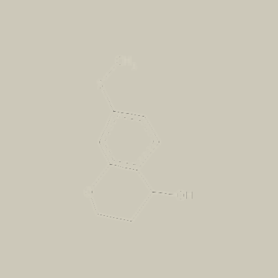 CSc1ccc2c(c1)OCCC2O